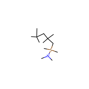 CN(C)S(C)(C)CC(C)(C)CC(C)(C)C